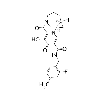 Cc1ccc(CNC(=O)c2cn3c(c(O)c2=O)C(=O)N2CCC[C@H]4C[C@@]43C2)c(F)c1